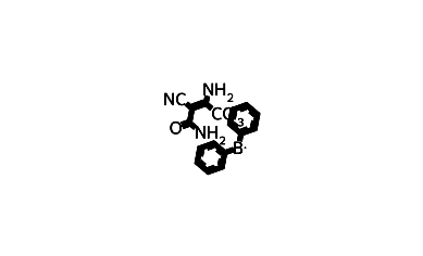 N#CC(C(N)=O)=C(N)C(Cl)(Cl)Cl.[B](c1ccccc1)c1ccccc1